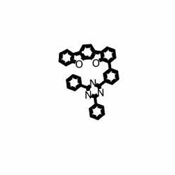 c1ccc(-c2nc(-c3ccccc3)nc(-c3cccc(-c4cccc5c4oc4c5ccc5c6ccccc6oc54)c3)n2)cc1